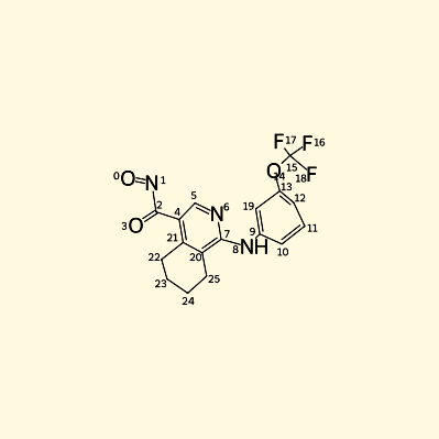 O=NC(=O)c1cnc(Nc2cccc(OC(F)(F)F)c2)c2c1CCCC2